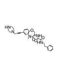 CN1C(=O)[C@@H](NC(=O)C(=O)NCCc2ccccc2)COc2ccc(C#CCN3CCNCC3)cc21